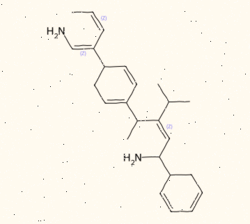 C/C=C\C(=C/N)C1C=CC(C(C)/C(=C\C(N)C2C=CC=CC2)C(C)C)=CC1